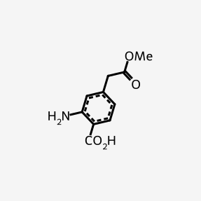 COC(=O)Cc1ccc(C(=O)O)c(N)c1